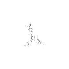 CCS(=O)(=O)Nc1ccc(CNc2cc(N3CCC(CO)CC3)nc(Nc3nc(C)c(C(=O)O)s3)n2)cc1